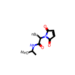 CCCCC(C(=O)NC(C)OC)N1C(=O)C=CC1=O